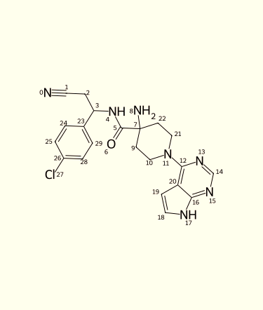 N#CCC(NC(=O)C1(N)CCN(c2ncnc3[nH]ccc23)CC1)c1ccc(Cl)cc1